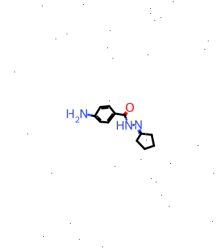 Nc1ccc(C(=O)NN=C2CCCC2)cc1